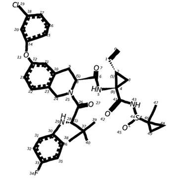 C=C[C@@H]1C[C@]1(NC(=O)[C@@H]1Cc2cc(Oc3cccc(Cl)c3)ccc2CN1C(=O)[C@@H](Nc1ccc(F)cc1)C(C)(C)C)C(=O)N[S+]([O-])C1(C)CC1